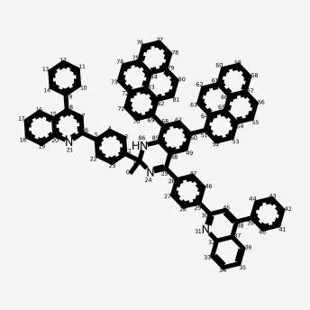 CC1(c2ccc(-c3cc(-c4ccccc4)c4ccccc4n3)cc2)N=C(c2ccc(C3=NC4C=CC=CC4C(c4ccccc4)=C3)cc2)c2cc(-c3ccc4ccc5cccc6ccc3c4c56)cc(-c3ccc4ccc5cccc6ccc3c4c56)c2N1